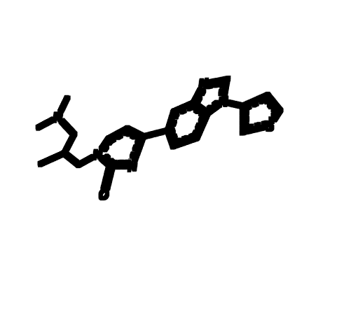 CC(CN(C)C)Cn1ccc(-c2ccc3c(c2)ncn3-c2ccsc2)nc1=O